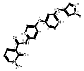 CC(C)n1cccc(C(=O)Nc2ccc(Oc3ccnc(Nc4cnn(C)c4)c3)cn2)c1=O